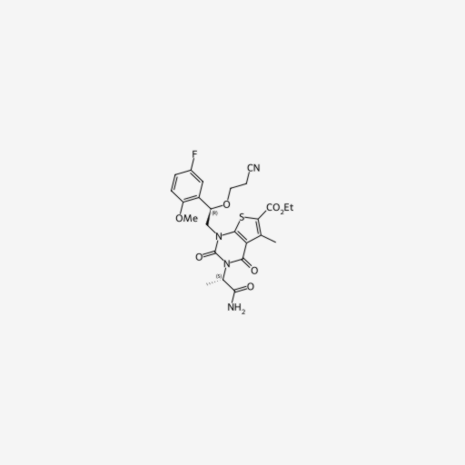 CCOC(=O)c1sc2c(c1C)c(=O)n([C@@H](C)C(N)=O)c(=O)n2C[C@H](OCCC#N)c1cc(F)ccc1OC